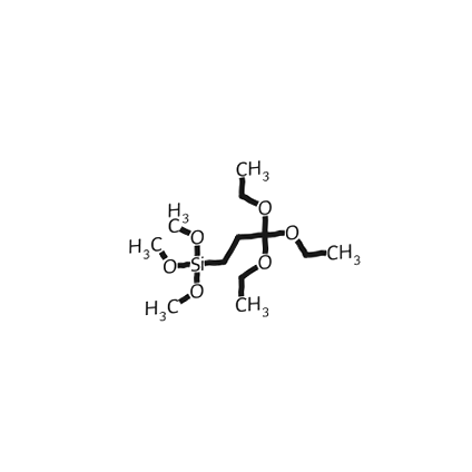 CCOC(CC[Si](OC)(OC)OC)(OCC)OCC